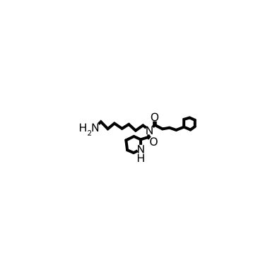 NCCCCCCCN(C(=O)CCCC1CCCCC1)C(=O)C1CCCCN1